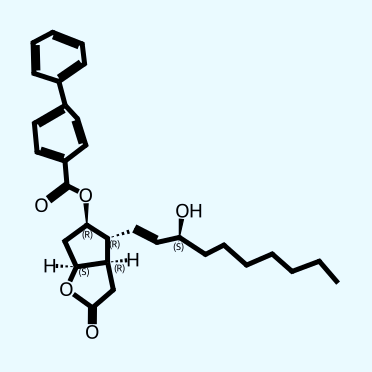 CCCCCCC[C@H](O)C=C[C@@H]1[C@H]2CC(=O)O[C@H]2C[C@H]1OC(=O)c1ccc(-c2ccccc2)cc1